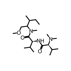 CCC(C)C(COC)N(C)C(=O)[C@@H](NC(=O)[C@H](C(C)C)N(C)C)C(C)C